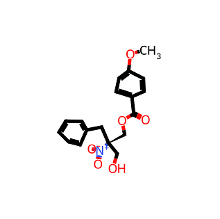 COc1ccc(C(=O)OC[C@](CO)(Cc2ccccc2)[N+](=O)[O-])cc1